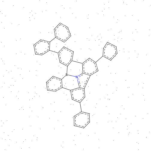 c1ccc(-c2cc3c4c(c2)c2cc(-c5ccccc5)cc5c2n4B(c2ccccc2-3)c2cc(-c3ccccc3-c3ccccc3)ccc2-5)cc1